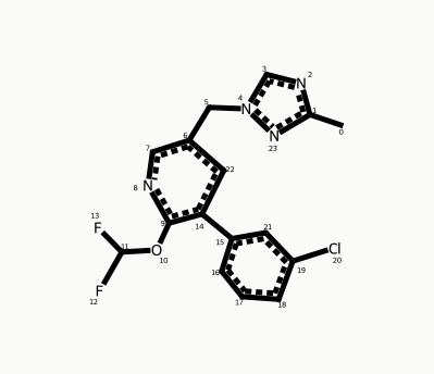 Cc1ncn(Cc2cnc(OC(F)F)c(-c3cccc(Cl)c3)c2)n1